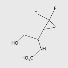 O=C(O)NC(CO)C1CC1(F)F